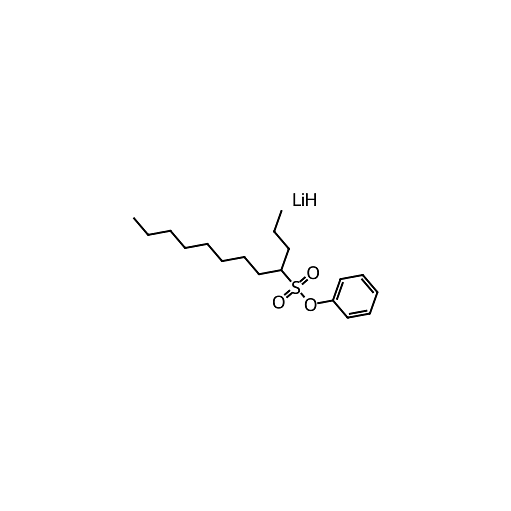 CCCCCCCCC(CCC)S(=O)(=O)Oc1ccccc1.[LiH]